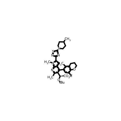 Cc1nc2c(cc(-c3nsc(N4CCC(C)CC4)n3)n2C)c(-c2cc(F)c3c(c2C)CCCO3)c1[C@H](OC(C)(C)C)C(=O)O